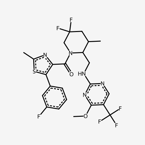 COc1nc(NCC2C(C)CC(F)(F)CN2C(=O)c2nc(C)sc2-c2cccc(F)c2)ncc1C(F)(F)F